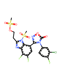 CS(=O)(=O)OCCc1nc2c(F)c(F)cc(-c3noc(=O)n3-c3ccc(F)c(Cl)c3)c2n1S(C)(=O)=O